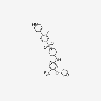 Cc1cc(S(=O)(=O)N2CCC(Nc3ncc(C(F)(F)F)c(O[C@H]4CCOC4)n3)CC2)ccc1C1=CCNCC1